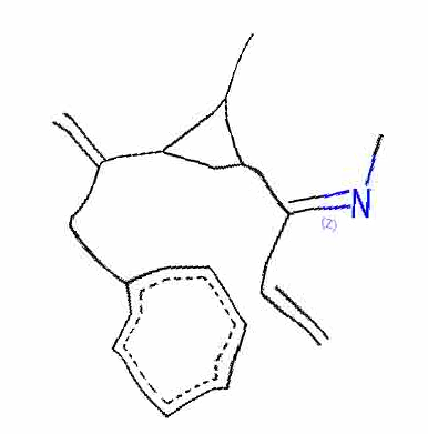 C=C/C(=N/C)C1C(C)C1C(=C)Cc1ccccc1